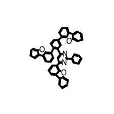 c1ccc(-c2nc(-c3cc(-c4cccc5c4oc4ccccc45)ccc3-c3cccc4c3oc3ccccc34)cc(-c3cccc4c3oc3ccccc34)n2)cc1